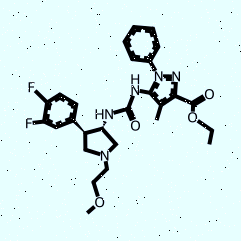 CCOC(=O)c1nn(-c2ccccc2)c(NC(=O)N[C@@H]2CN(CCOC)C[C@H]2c2ccc(F)c(F)c2)c1C